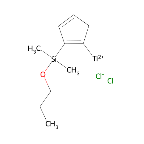 CCCO[Si](C)(C)C1=[C]([Ti+2])CC=C1.[Cl-].[Cl-]